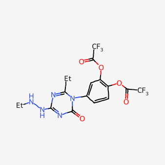 CCNNc1nc(CC)n(-c2ccc(OC(=O)C(F)(F)F)c(OC(=O)C(F)(F)F)c2)c(=O)n1